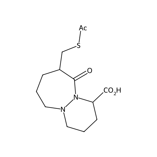 CC(=O)SCC1CCCN2CCCC(C(=O)O)N2C1=O